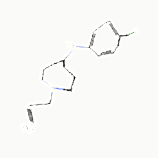 C=CCN1CCC(Nc2ccc(Cl)cc2)CC1